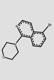 Brc1cccc2c(N3CCOCC3)nccc12